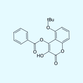 CC(C)(C)Oc1cccc2oc(=O)c(O)c(OC(=O)c3ccccc3)c12